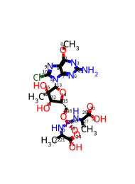 COc1nc(N)nc2c1nc(Cl)n2[C@@H]1O[C@H](COP(=O)(NC(C)C(=O)O)NC(C)C(=O)O)[C@@H](O)[C@@]1(C)O